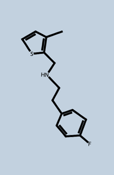 Cc1ccsc1CNCCc1ccc(F)cc1